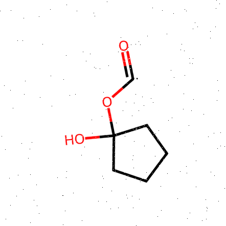 O=[C]OC1(O)CCCC1